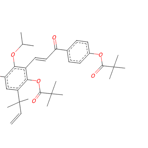 C=CC(C)(C)c1cc(OC)c(OC(C)C)c(C=CC(=O)c2ccc(OC(=O)C(C)(C)C)cc2)c1OC(=O)C(C)(C)C